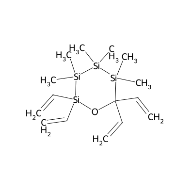 C=CC1(C=C)O[Si](C=C)(C=C)[Si](C)(C)[Si](C)(C)[Si]1(C)C